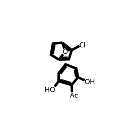 CC(=O)c1c(O)cccc1O.Clc1cc2ccc1o2